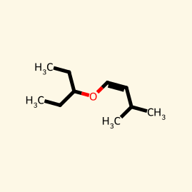 CCC(CC)O/C=C\C(C)C